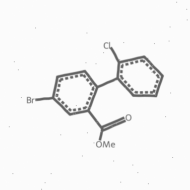 COC(=O)c1cc(Br)ccc1-c1ccccc1Cl